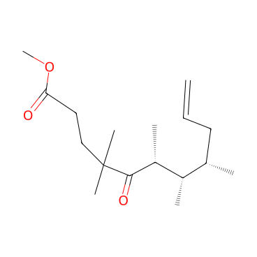 C=CC[C@H](C)[C@H](C)[C@@H](C)C(=O)C(C)(C)CCC(=O)OC